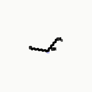 CCCCCCC(O)C/C=C\CCCCCCC[C]=O